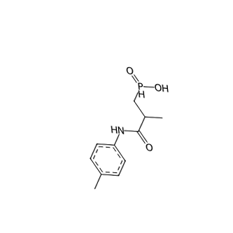 Cc1ccc(NC(=O)C(C)C[PH](=O)O)cc1